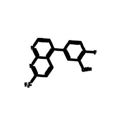 COc1cc(-c2ccnc3nc(C(F)(F)F)ccc23)ccc1F